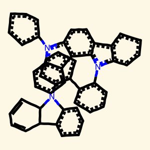 C1=CC2c3ccccc3N(c3ccccc3-c3ccccc3-n3c4ccccc4c4ccc5c(c6ccccc6n5-c5ccccc5)c43)C2C=C1